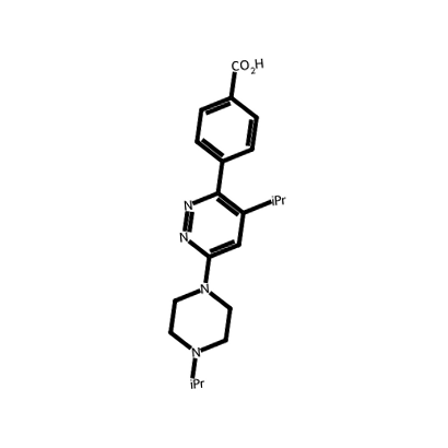 CC(C)c1cc(N2CCN(C(C)C)CC2)nnc1-c1ccc(C(=O)O)cc1